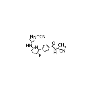 CC(C#N)NC(=O)c1ccc(-c2nc(Nc3cnn(CC#N)c3)ncc2F)cc1